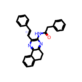 O=C(Cc1ccccc1)Nc1nc2c(nc1/C=C/c1ccccc1)-c1ccccc1CC2